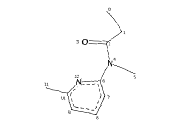 CCC(=O)N(C)c1cccc(C)n1